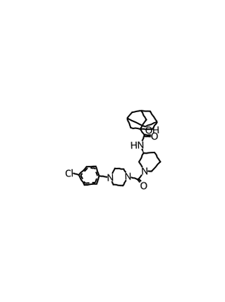 O=C(N1CCN(c2ccc(Cl)cc2)CC1)N1CCC[C@H](NC(=O)C23CC4CC(C2)C(O)C(C4)C3)C1